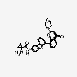 NC1(C(=O)Nc2ccc3sc4c(-c5cccc6c(=O)cc(N7CCOCC7)oc56)cccc4c3c2)CC1